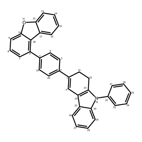 C1=C(c2ccc(-c3cccc4oc5ccccc5c34)cc2)CCc2c1c1ccccc1n2-c1ccccc1